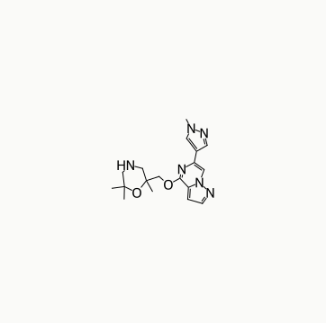 Cn1cc(-c2cn3nccc3c(OCC3(C)CNCC(C)(C)O3)n2)cn1